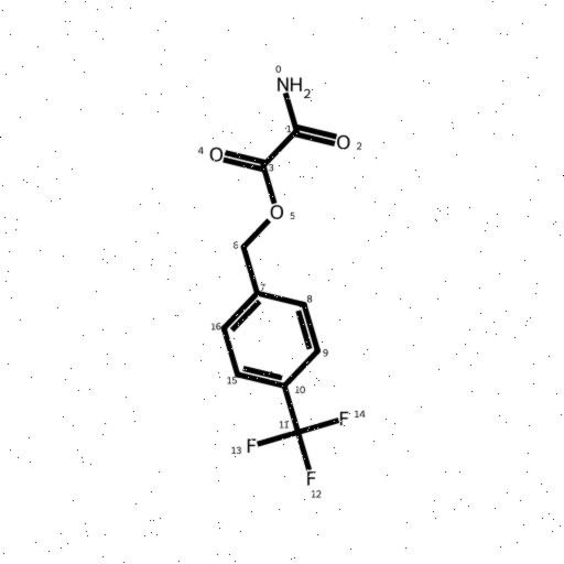 NC(=O)C(=O)OCc1ccc(C(F)(F)F)cc1